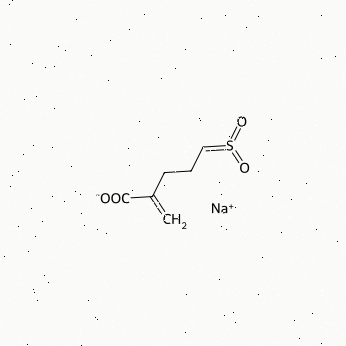 C=C(CCC=S(=O)=O)C(=O)[O-].[Na+]